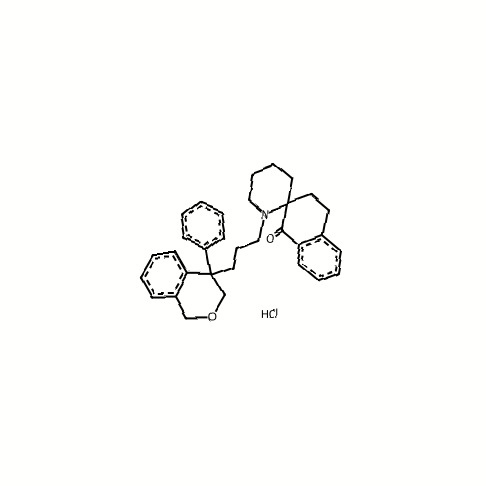 Cl.O=C1c2ccccc2CCC12CCCCN2CCCC1(c2ccccc2)COCc2ccccc21